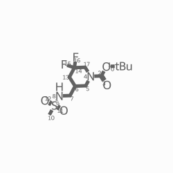 CC(C)(C)OC(=O)N1CC(CNS(C)(=O)=O)CC(F)(F)C1